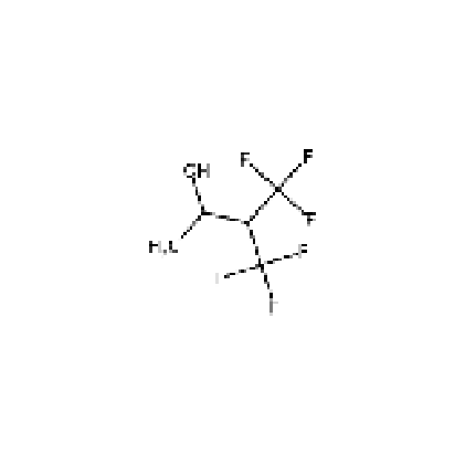 CC(O)C(C(F)(F)F)C(F)(F)F